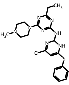 CCc1nc(NC2N=C(Cl)C=C(Sc3ccccc3)N2)nc(N2CCN(C)CC2)n1